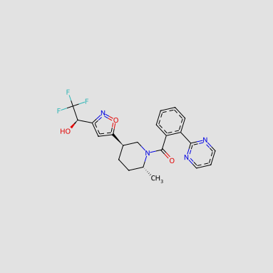 C[C@@H]1CC[C@@H](c2cc([C@@H](O)C(F)(F)F)no2)CN1C(=O)c1ccccc1-c1ncccn1